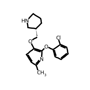 Cc1ccc(OC[C@H]2CCCNC2)c(Oc2ccccc2Cl)n1